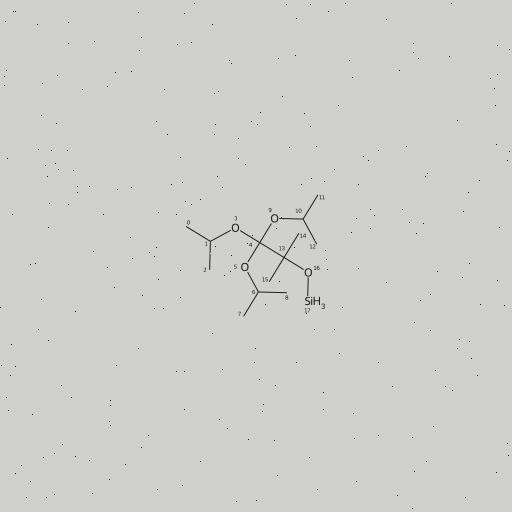 CC(C)OC(OC(C)C)(OC(C)C)C(C)(C)O[SiH3]